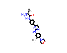 Cc1cc(Nc2nccc(-c3ccc(NC(=O)C(C)N)cc3)n2)ccc1N1CCOCC1